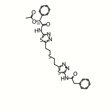 CC(=O)O[C@H](C(=O)Nc1nnc(CCSCCc2nnc(NC(=O)Cc3ccccc3)s2)s1)c1ccccc1